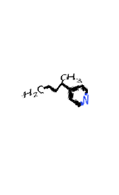 [CH2]CCC(C)c1ccncc1